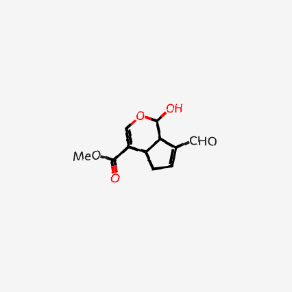 COC(=O)C1=COC(O)C2C(C=O)=CCC12